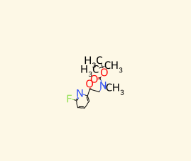 CN(CC(=O)c1cccc(F)n1)C(=O)OC(C)(C)C